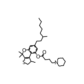 CCCCCC(C)CCc1cc(OC(=O)CCCN2CCCCC2)c2c(c1)OC(C)(C)C1=C2C(C)CS1